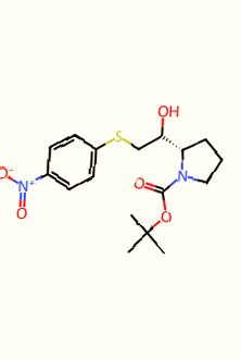 CC(C)(C)OC(=O)N1CCC[C@H]1C(O)CSc1ccc([N+](=O)[O-])cc1